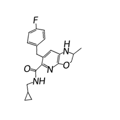 CC1COc2nc(C(=O)NCC3CC3)c(Cc3ccc(F)cc3)cc2N1